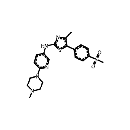 Cc1nc(Nc2ccc(N3CCN(C)CC3)nc2)sc1-c1ccc(S(C)(=O)=O)cc1